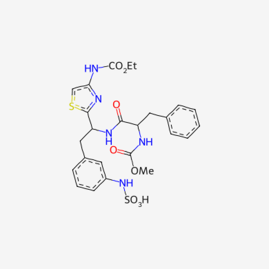 CCOC(=O)Nc1csc(C(Cc2cccc(NS(=O)(=O)O)c2)NC(=O)C(Cc2ccccc2)NC(=O)OC)n1